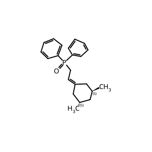 C[C@@H]1CC(=CCP(=O)(c2ccccc2)c2ccccc2)C[C@@H](C)C1